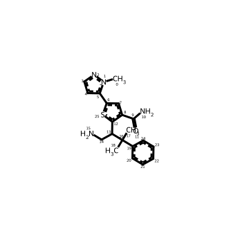 Cn1nccc1-c1cc(C(N)=O)c(C(CN)C(C)(C)c2ccccc2)s1